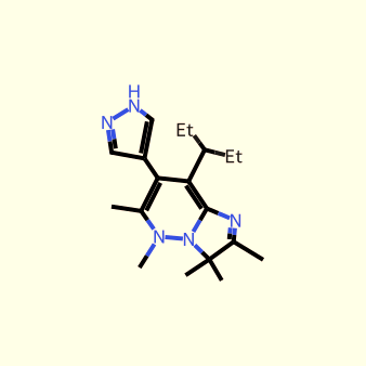 CCC(CC)C1=C2N=C(C)C(C)(C)N2N(C)C(C)=C1c1cn[nH]c1